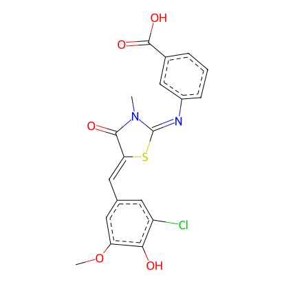 COc1cc(/C=C2\S/C(=N/c3cccc(C(=O)O)c3)N(C)C2=O)cc(Cl)c1O